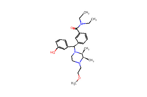 CCN(CC)C(=O)c1cccc(C(c2cccc(O)c2)N2CCN(CCOC)[C@H](C)[C@@H]2C)c1